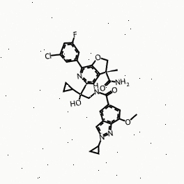 COc1cc(C(=O)NCC(O)(c2cc3c(c(-c4cc(F)cc(Cl)c4)n2)OC[C@]3(C)C(N)=O)C2CC2)cc2cn(C3CC3)nc12